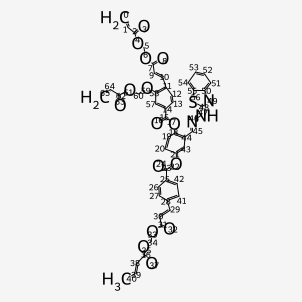 C=CC(=O)OCOC(=O)/C=C/c1ccc(C(=O)Oc2ccc(OC(=O)c3ccc(/C=C/C(=O)OCOC(=O)/C=C/C)cc3)cc2/C=N/Nc2nc3ccccc3s2)cc1OCOC(=O)C=C